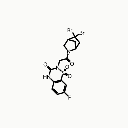 O=C(CN1C(=O)Nc2ccc(F)cc2S1(=O)=O)N1CC2CC1CC2(Br)Br